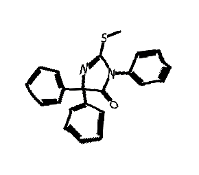 CSC1=NC(c2ccccc2)(c2ccccc2)C(=O)N1c1ccccc1